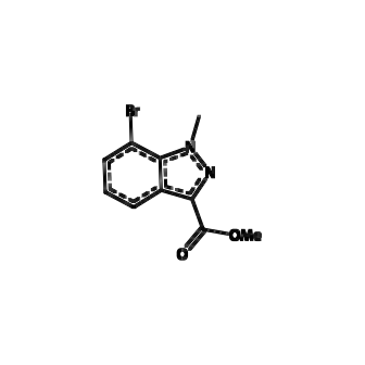 COC(=O)c1nn(C)c2c(Br)cccc12